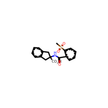 CCOC(=O)C1(NC(=O)c2ccccc2S(C)(=O)=O)Cc2ccccc2C1